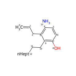 C=CCc1cccc(O)c1CCCCCCCCC.N